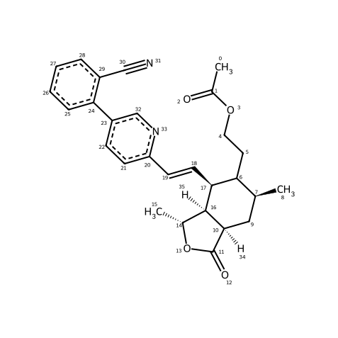 CC(=O)OCCC1[C@@H](C)C[C@H]2C(=O)O[C@H](C)[C@H]2[C@H]1/C=C/c1ccc(-c2ccccc2C#N)cn1